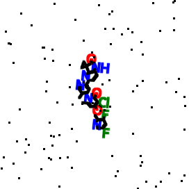 Cc1cnc(-c2ccc3c(n2)C2(CC2)C(=O)N3)cc1-n1c(C)cc(OCc2ncc(F)cc2F)c(Cl)c1=O